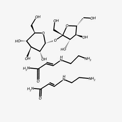 NCCNC=CC(N)=O.NCCNC=CC(N)=O.OC[C@H]1O[C@@](CO)(O[C@H]2O[C@H](CO)[C@@H](O)[C@H](O)[C@H]2O)[C@@H](O)[C@@H]1O